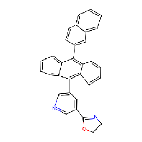 c1ccc2cc(-c3c4ccccc4c(-c4cncc(C5=NCCO5)c4)c4ccccc34)ccc2c1